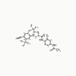 CC(=O)Nc1ccc(NC(=O)C2CN(c3ccc(C#N)c(C(F)(F)F)c3)C(C(F)(F)F)O2)c(Cl)c1